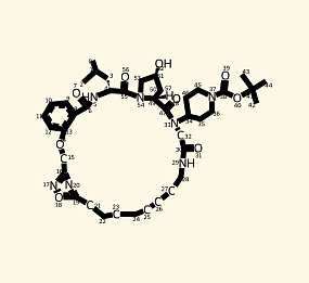 CC(C)C[C@H]1NC(=O)c2ccccc2OCc2noc(n2)CCCCCCCCNC(=O)CN(C2CCN(C(=O)OC(C)(C)C)CC2)C(=O)[C@H]2C[C@H](O)CN2C1=O